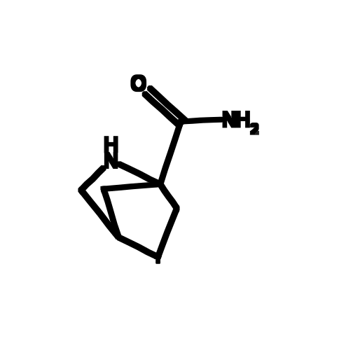 NC(=O)C12C[CH]C(CN1)C2